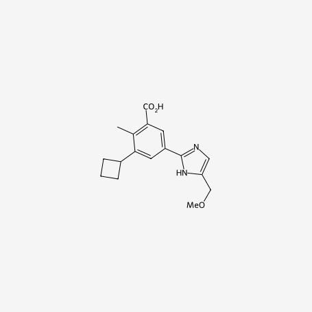 COCc1cnc(-c2cc(C(=O)O)c(C)c(C3CCC3)c2)[nH]1